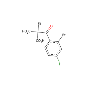 CCc1cc(F)ccc1C(=O)C(CC)(C(=O)O)C(=O)O